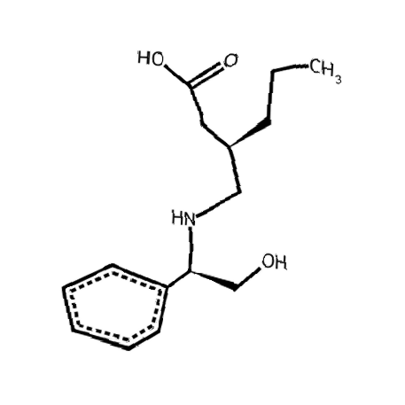 CCC[C@@H](CN[C@@H](CO)c1ccccc1)CC(=O)O